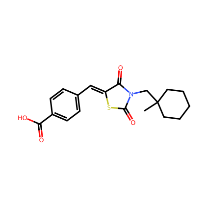 CC1(CN2C(=O)SC(=Cc3ccc(C(=O)O)cc3)C2=O)CCCCC1